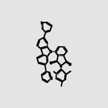 Cc1cc(C)c(N2C(=O)c3cccc(-n4c5cc(-c6cccnc6)ccc5c5ccc(-c6cccnc6)cc54)c3C2=O)c(C)c1